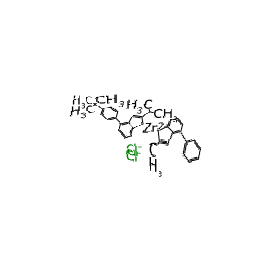 CC1=Cc2c(-c3ccccc3)cccc2[CH]1[Zr+2][CH]1C(C(C)C)=Cc2c(-c3ccc(C(C)(C)C)cc3)cccc21.[Cl-].[Cl-]